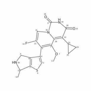 COc1c(-c2csc3c2CNC3C)c(F)cn2c(=O)[nH]c(=O)c(C3CC3)c12